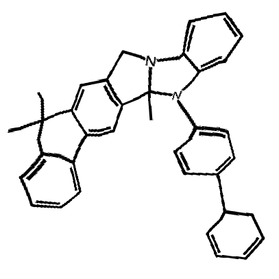 CC1(C)c2ccccc2-c2cc3c(cc21)CN1c2ccccc2N(c2ccc(C4C=CC=CC4)cc2)C31C